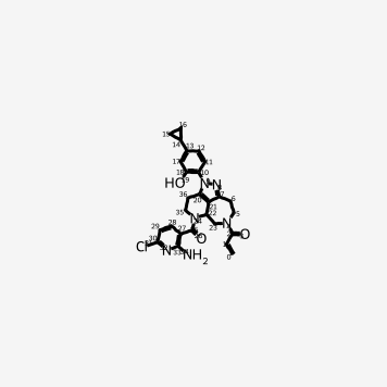 C=CC(=O)N1CCc2nn(-c3ccc(C4CC4)cc3O)c3c2C(C1)N(C(=O)c1ccc(Cl)nc1N)CC3